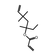 C=CC(=O)OC(C)(CC)CC(C)(C)C=C